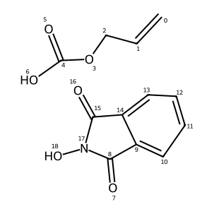 C=CCOC(=O)O.O=C1c2ccccc2C(=O)N1O